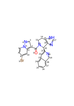 O=C(c1cnn2ccc(Br)cc12)N1CCc2[nH]cnc2[C@H]1c1cc2ccccc2cn1